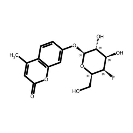 Cc1cc(=O)oc2cc(O[C@@H]3O[C@H](CO)[C@H](F)[C@H](O)[C@H]3O)ccc12